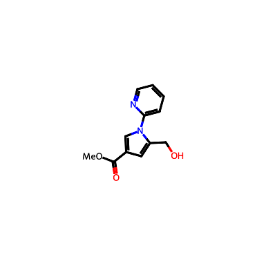 COC(=O)c1cc(CO)n(-c2ccccn2)c1